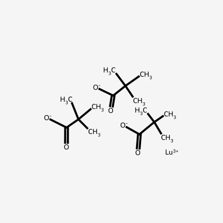 CC(C)(C)C(=O)[O-].CC(C)(C)C(=O)[O-].CC(C)(C)C(=O)[O-].[Lu+3]